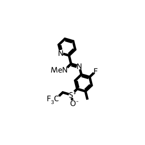 CN/C(=N\c1cc([S+]([O-])CC(F)(F)F)c(C)cc1F)c1ccccn1